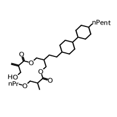 C=C(CO)C(=O)OCC(CCC1CCC(C2CCC(CCCCC)CC2)CC1)COC(=O)C(C)COCCC